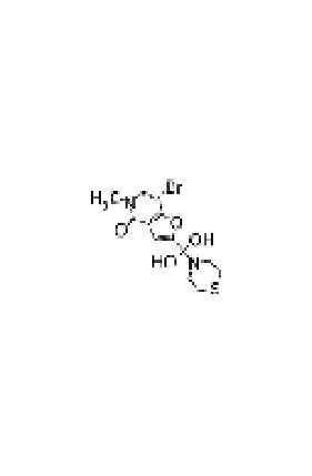 Cn1cc(Br)c2oc(C(O)(O)N3CCSCC3)cc2c1=O